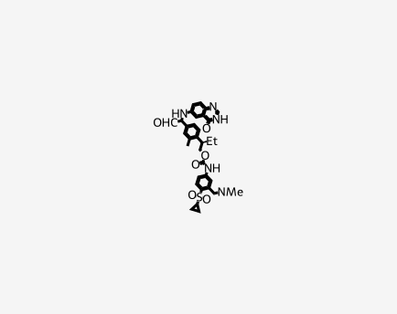 CC[C@@H](COC(=O)Nc1ccc(S(=O)(=O)C2CC2)c(CNC)c1)c1ccc(C(C=O)Nc2ccc3nc[nH]c(=O)c3c2)cc1C